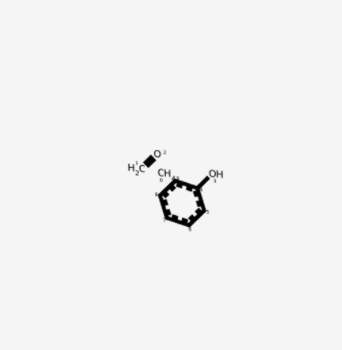 C.C=O.Oc1ccccc1